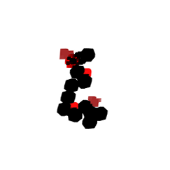 Brc1ccc(-c2ccc3c(c2)oc2cccc(-c4cccc(-c5ccc(-c6cccc7c6oc6c(-c8ccc(Br)c9c8C8c%10ccccc%10C8%10c8ccccc8C9%10)cccc67)cc5)c4)c23)c2c1C1c3ccccc3C2c2ccccc21